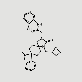 CN(C)C1(c2ccccc2)CCC2(CC1)CN(CC(=O)Nc1cncnc1O)C(=O)N2CC1CCC1